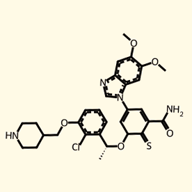 COc1cc2ncn(C3=CC(O[C@H](C)c4cccc(OCC5CCNCC5)c4Cl)C(=S)C(C(N)=O)=C3)c2cc1OC